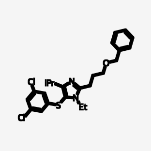 CCn1c(CCCOCc2ccccc2)nc(C(C)C)c1Sc1cc(Cl)cc(Cl)c1